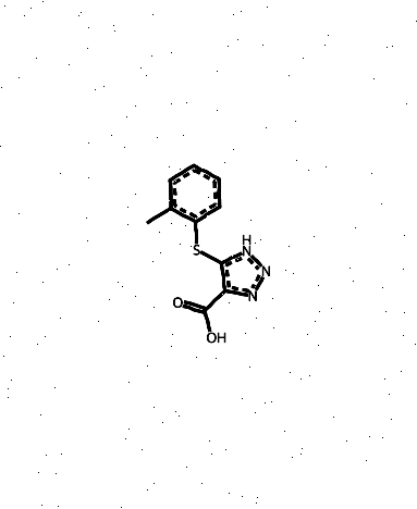 Cc1ccccc1Sc1[nH]nnc1C(=O)O